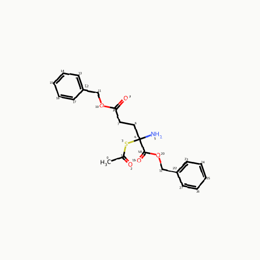 CC(=O)SC(N)(CCC(=O)OCc1ccccc1)C(=O)OCc1ccccc1